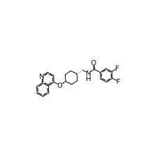 O=C(NC[C@H]1CC[C@H](Oc2ccnc3ccccc23)CC1)c1ccc(F)c(F)c1